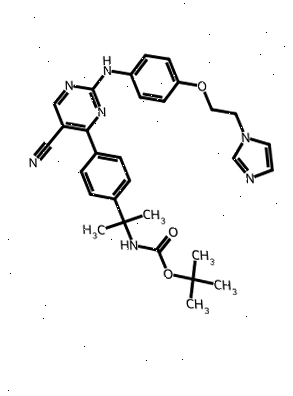 CC(C)(C)OC(=O)NC(C)(C)c1ccc(-c2nc(Nc3ccc(OCCn4ccnc4)cc3)ncc2C#N)cc1